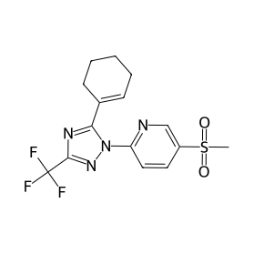 CS(=O)(=O)c1ccc(-n2nc(C(F)(F)F)nc2C2=CCCCC2)nc1